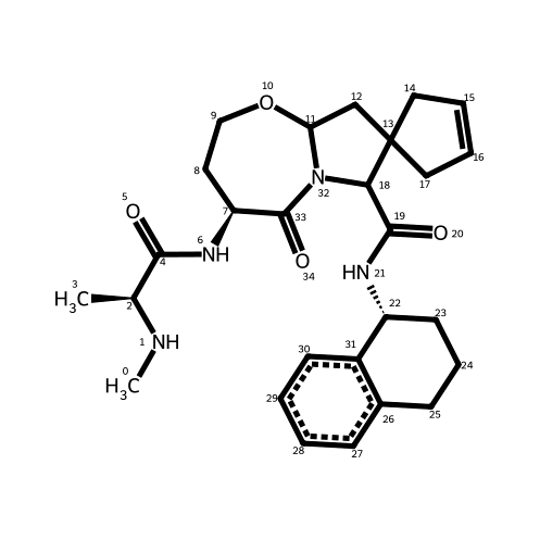 CN[C@@H](C)C(=O)N[C@H]1CCOC2CC3(CC=CC3)C(C(=O)N[C@@H]3CCCc4ccccc43)N2C1=O